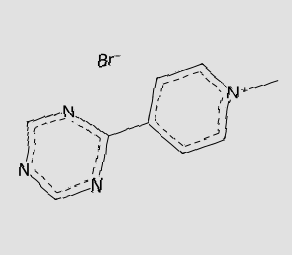 C[n+]1ccc(-c2ncncn2)cc1.[Br-]